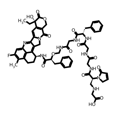 CC[C@@]1(O)C(=O)OCc2c1cc1n(c2=O)Cc2c-1nc1cc(F)c(C)c3c1c2[C@@H](NC(=O)[C@H](Cc1ccccc1)OCNC(=O)CNC(=O)[C@H](Cc1ccccc1)NC(=O)CNC(=O)CNC(=O)[C@H](CNCC(=O)O)N1CC=CC1=O)CC3